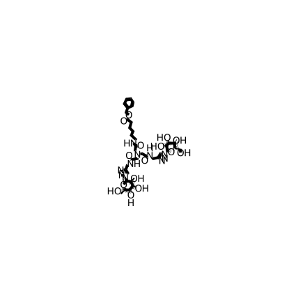 O=C(CN(CC(=O)NCc1cn([C@@H]2O[C@H](CO)[C@@H](O)[C@H](O)[C@@H]2O)nn1)CC(=O)NCc1cn([C@@H]2O[C@H](CO)[C@@H](O)[C@H](O)[C@@H]2O)nn1)NCCCCCC(=O)OCc1ccccc1